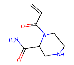 C=CC(=O)N1CCNCC1C(N)=O